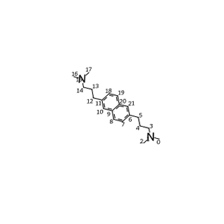 CN(C)CCCc1ccc2cc(CCCN(C)C)ccc2c1